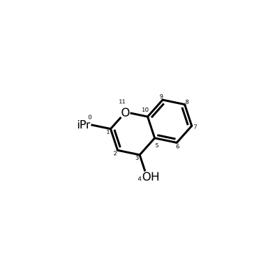 CC(C)C1=CC(O)c2ccccc2O1